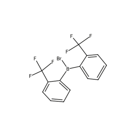 FC(F)(F)c1ccccc1B(Br)c1ccccc1C(F)(F)F